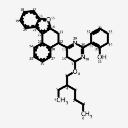 CCCCC(CC)COC1CC(C2Cc3oc4ccccc4c3-c3ccccc32)=NC(C2=C(O)CCC=C2)=N1